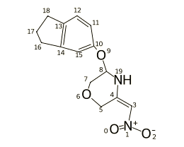 O=[N+]([O-])C=C1COCC(Oc2ccc3c(c2)CCC3)N1